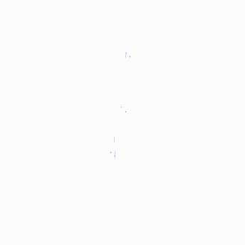 CC(C)(C)c1ccc(N2B3c4cc(C(C)(C)C)ccc4-n4c5cc(N(c6ccccc6)c6ccccc6)ccc5c5c6c(oc7ccccc76)c(c3c54)-c3cc4c(cc32)oc2ccccc24)cc1